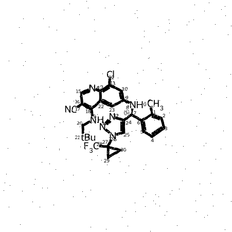 Cc1ccccc1[C@H](Nc1cc(Cl)c2ncc(C#N)c(NCC(C)(C)C)c2c1)c1cn(C2(C(F)(F)F)CC2)nn1